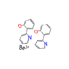 [Be+2].[O-]c1ccccc1-c1ccccn1.[O-]c1ccccc1-c1ccccn1